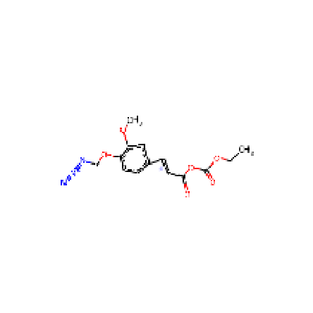 CCOC(=O)OC(=O)/C=C/c1ccc(OCN=[N+]=[N-])c(OC)c1